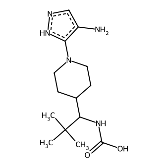 CC(C)(C)C(NC(=O)O)C1CCN(c2[nH]ncc2N)CC1